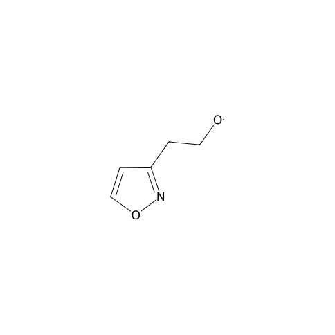 [O]CCc1ccon1